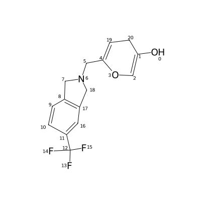 OC1=COC(CN2Cc3ccc(C(F)(F)F)cc3C2)=CC1